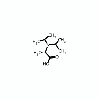 CC(C)N(C(C)C)[C@@H](C)C(=O)O